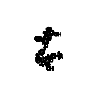 CCc1cccc2cc(O)cc(-c3ncc4c(N5CC6CCC(C5)N6)nc(OCCN5CCC(N(C)c6cc([C@H](C(=O)N7C[C@H](O)C[C@H]7C(=O)N[C@@H](C)c7ccc(-c8scnc8C)cc7)C(C)C)on6)CC5)nc4c3F)c12